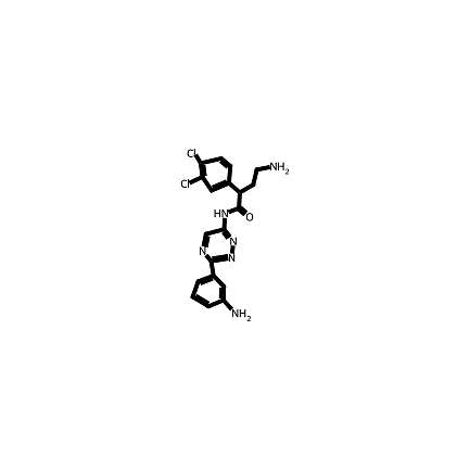 NCCC(C(=O)Nc1cnc(-c2cccc(N)c2)nn1)c1ccc(Cl)c(Cl)c1